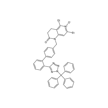 CCc1cc2c(c(CC)[n+]1[O-])CCC(=O)N2Cc1ccc(-c2ccccc2-c2nnn(C(c3ccccc3)(c3ccccc3)c3ccccc3)n2)cc1